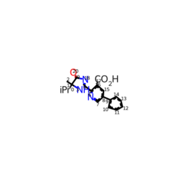 CC(C)C1(C)NC(c2ncc(-c3ccccc3)cc2C(=O)O)=NC1=O